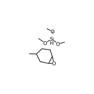 CC1CCC2OC2C1.CO[SiH](OC)OC